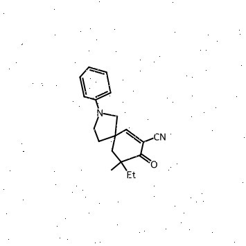 CCC1(C)CC2(C=C(C#N)C1=O)CCN(c1ccccc1)C2